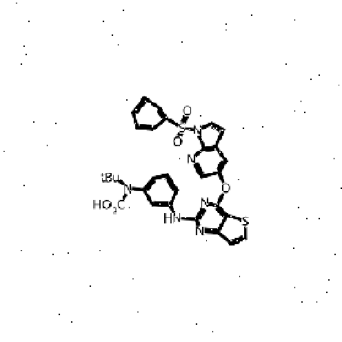 CC(C)(C)N(C(=O)O)c1cccc(Nc2nc(Oc3cnc4c(ccn4S(=O)(=O)c4ccccc4)c3)c3sccc3n2)c1